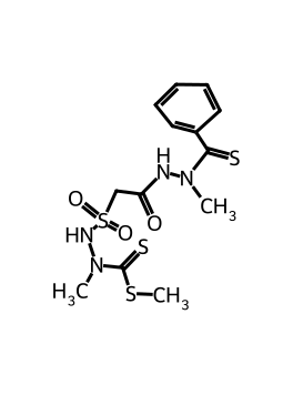 CSC(=S)N(C)NS(=O)(=O)CC(=O)NN(C)C(=S)c1ccccc1